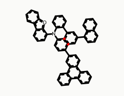 c1cc(-c2ccccc2N(c2ccc(-c3ccc4c5ccccc5c5ccccc5c4c3)cc2)c2cccc3c2oc2ccccc23)cc(-c2cccc3ccccc23)c1